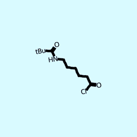 CC(C)(C)C(=O)NCCCCCC(=O)Cl